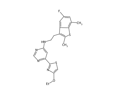 CCOc1csc(-c2cc(NCCc3c(C)sc4c(C)cc(F)cc34)ncn2)n1